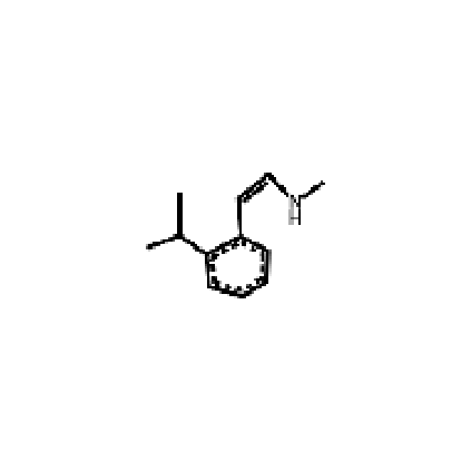 CN/C=C\c1ccccc1C(C)C